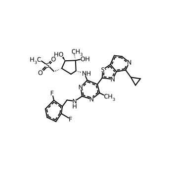 Cc1nc(NCc2c(F)cccc2F)nc(N[C@@H]2C[C@H](CS(C)(=O)=O)[C@@H](O)[C@@]2(C)O)c1-c1nc2c(C3CC3)nccc2s1